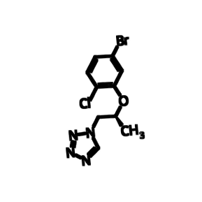 C[C@@H](Cn1cnnn1)Oc1cc(Br)ccc1Cl